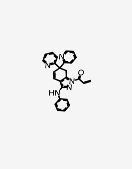 C=CC(=O)n1nc(Nc2ccccc2)c2c1CC(c1ccccn1)(c1ccccn1)C=C2